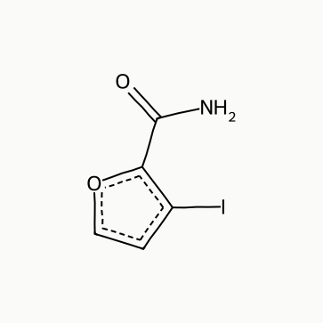 NC(=O)c1occc1I